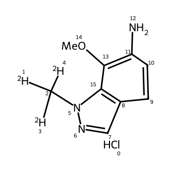 Cl.[2H]C([2H])([2H])n1ncc2ccc(N)c(OC)c21